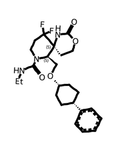 CCNC(=O)N1CCC(F)(F)[C@]2(CCOC(=O)N2)[C@H]1CO[C@H]1CC[C@@H](c2ccccc2)CC1